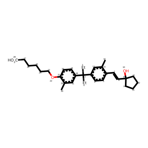 CCC(CC)(c1ccc(C=CC2(O)CCCC2)c(C)c1)c1ccc(OCCCCCC(=O)O)c(C)c1